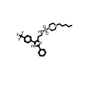 CCCCCN1CCN(S(=O)(=O)NCCc2nc(-c3ccccc3)[nH]c2-c2ccc(C(F)(F)F)cc2)CC1